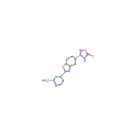 O=C(O)c1cc(-c2nc3cc(-c4noc(=O)[nH]4)ccc3o2)ccn1